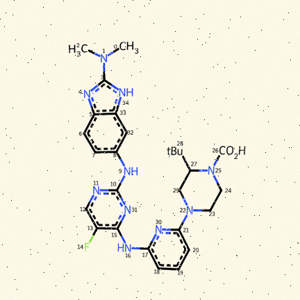 CN(C)c1nc2ccc(Nc3ncc(F)c(Nc4cccc(N5CCN(C(=O)O)C(C(C)(C)C)C5)n4)n3)cc2[nH]1